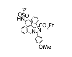 CCOC(=O)[C@@]1(c2ccccc2)N=C(c2ccc(OC)cc2)N(Cc2ccccc2)[C@H]1c1ccc(NS(=O)(=O)C2CC2)cc1